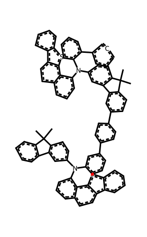 CC1(C)c2ccccc2-c2cc(N(c3cccc(-c4ccc(-c5ccc6c(c5)-c5cc(N(c7ccccc7-c7ccccc7)c7cccc8ccc9c%10ccccc%10sc9c78)ccc5C6(C)C)cc4)c3)c3cccc4ccc5c6ccccc6sc5c34)ccc21